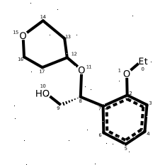 CCOc1ccccc1[C@H](CO)OC1CCOCC1